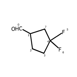 O=CC1CCC(F)(F)C1